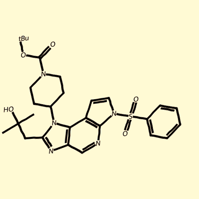 CC(C)(O)Cc1nc2cnc3c(ccn3S(=O)(=O)c3ccccc3)c2n1C1CCN(C(=O)OC(C)(C)C)CC1